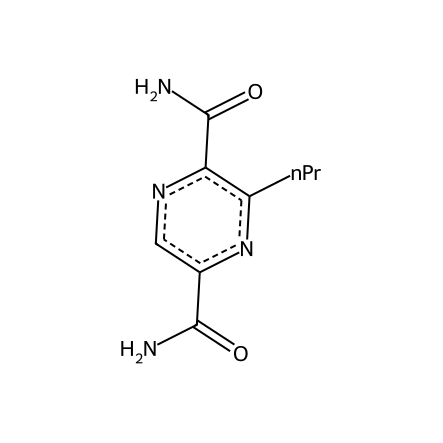 CCCc1nc(C(N)=O)cnc1C(N)=O